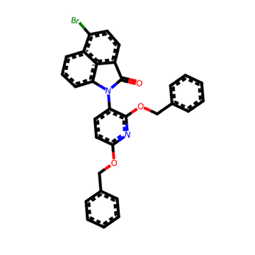 O=C1c2ccc(Br)c3cccc(c23)N1c1ccc(OCc2ccccc2)nc1OCc1ccccc1